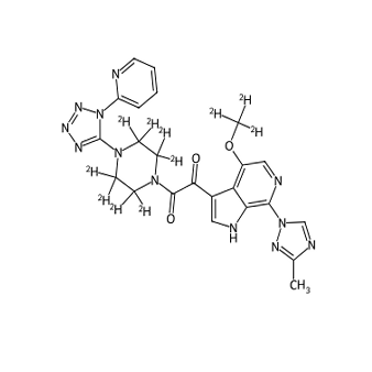 [2H]C([2H])([2H])Oc1cnc(-n2cnc(C)n2)c2[nH]cc(C(=O)C(=O)N3C([2H])([2H])C([2H])([2H])N(c4nnnn4-c4ccccn4)C([2H])([2H])C3([2H])[2H])c12